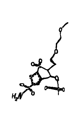 COCCOCCC1C(OS(C)(=O)=O)c2cc(S(N)(=O)=O)sc2S1(=O)=O